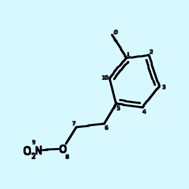 Cc1cccc(CCO[N+](=O)[O-])c1